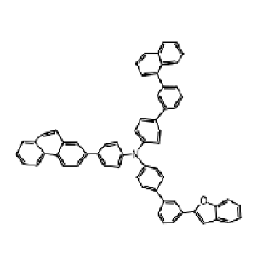 c1cc(-c2ccc(N(c3ccc(-c4cccc(-c5cccc6ccccc56)c4)cc3)c3ccc(-c4ccc5c(ccc6ccccc65)c4)cc3)cc2)cc(-c2cc3ccccc3o2)c1